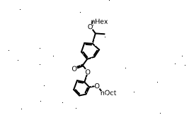 CCCCCCCCOc1ccccc1OC(=O)c1ccc(C(C)OCCCCCC)cc1